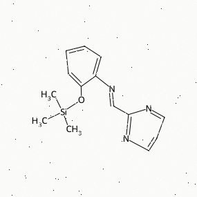 C[Si](C)(C)Oc1ccccc1N=Cc1ncccn1